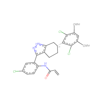 C=CC(=O)Nc1ccc(Cl)cc1-c1n[nH]c2c1CC[C@@H](c1c(Cl)c(OC)cc(OC)c1Cl)C2